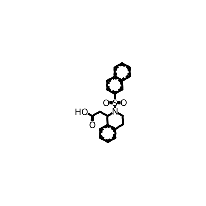 O=C(O)CC1c2ccccc2CCN1S(=O)(=O)c1ccc2ccccc2c1